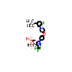 CC(C)c1ccc(F)c(N2CCC(Oc3ccc(N4N=C(C(F)(F)F)[C@@H](C)[C@@H]4CC(=O)O)cc3)CC2)c1